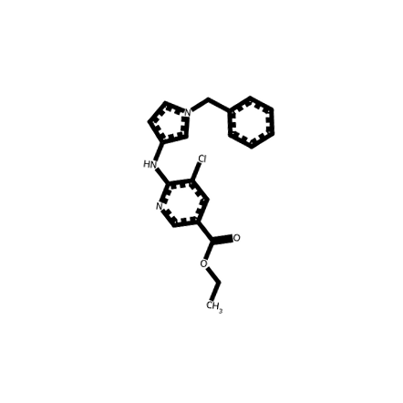 CCOC(=O)c1cnc(Nc2ccn(Cc3ccccc3)c2)c(Cl)c1